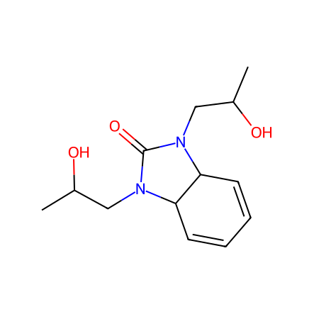 CC(O)CN1C(=O)N(CC(C)O)C2C=CC=CC21